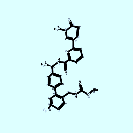 C[C@@H](NC(=O)c1cccc(-c2ccc(=O)n(C)c2)n1)c1ccc(-c2cc(C(F)(F)F)ccc2CNC(=O)OC(C)(C)C)cc1